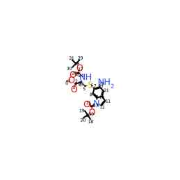 COC(=O)[C@H](CSc1cc2c(ccn2C(=O)OC(C)(C)C)cc1N)NC(=O)OC(C)(C)C